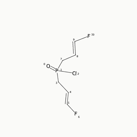 O=P(Cl)(CC=CF)CC=CF